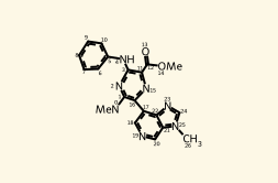 CNc1nc(Nc2ccccc2)c(C(=O)OC)nc1-c1cncc2c1ncn2C